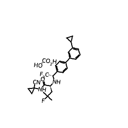 CC(C)(F)C[C@H](N[C@@H](c1ccc(-c2cccc(C3CC3)c2)cc1)C(F)(F)F)C(=O)NC1(C#N)CC1.O=C(O)O